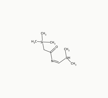 C[SiH](C)/C=N\C(=O)C[Si](C)(C)C